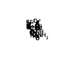 CC(=O)N1C[C@H]2C[C@@H](Nc3c(C(N)=O)cnn4cc(-c5cnn(C(F)F)c5)cc34)[C@H](C)[C@H]2C1